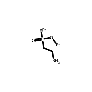 BCCP(=O)(CCC)OCC